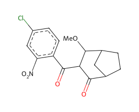 COC1C2CCC(C2)C(=O)C1C(=O)c1ccc(Cl)cc1[N+](=O)[O-]